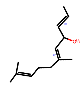 C/C=C/C(O)/C=C(\C)CCC=C(C)C